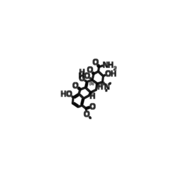 COC(=O)c1ccc(O)c2c1C[C@H]1C[C@H]3[C@H](N(C)C)C(O)C(C(N)=O)C(=O)[C@@]3(O)C(O)=C1C2=O